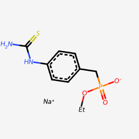 CCOP(=O)([O-])Cc1ccc(NC(N)=S)cc1.[Na+]